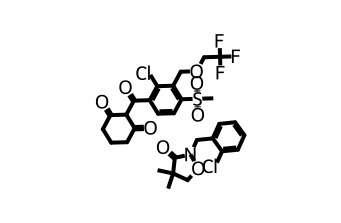 CC1(C)CON(Cc2ccccc2Cl)C1=O.CS(=O)(=O)c1ccc(C(=O)C2C(=O)CCCC2=O)c(Cl)c1COCC(F)(F)F